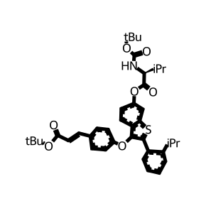 CC(C)c1ccccc1-c1sc2cc(OC(=O)[C@@H](NC(=O)OC(C)(C)C)C(C)C)ccc2c1Oc1ccc(C=CC(=O)OC(C)(C)C)cc1